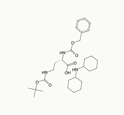 C1CCC(NC2CCCCC2)CC1.CC(C)(C)OC(=O)NCC[C@H](NC(=O)OCc1ccccc1)C(=O)O